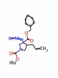 C=CCC1CN(C(=O)OC(C)(C)C)CC1(N=[N+]=[N-])C(=O)OCc1ccccc1